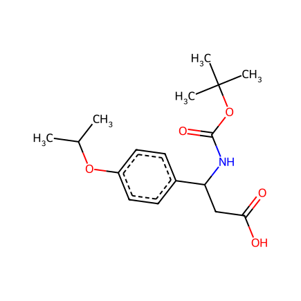 CC(C)Oc1ccc(C(CC(=O)O)NC(=O)OC(C)(C)C)cc1